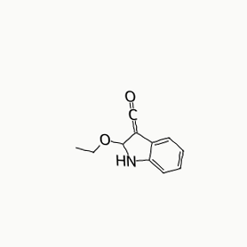 CCOC1Nc2ccccc2C1=C=O